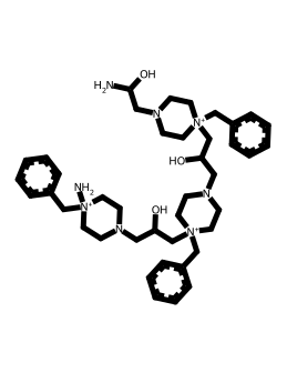 NC(O)CN1CC[N+](Cc2ccccc2)(CC(O)CN2CC[N+](Cc3ccccc3)(CC(O)CN3CC[N+](N)(Cc4ccccc4)CC3)CC2)CC1